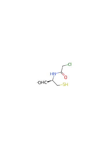 O=[C][C@H](CS)NC(=O)CCl